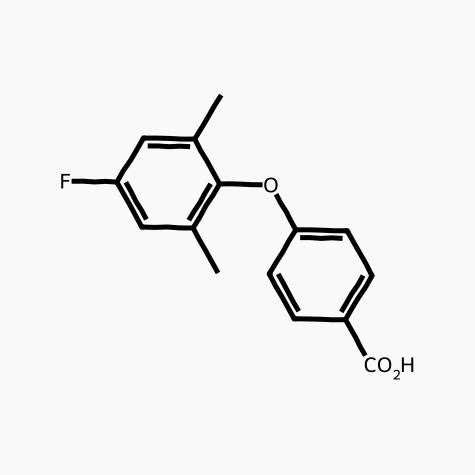 Cc1cc(F)cc(C)c1Oc1ccc(C(=O)O)cc1